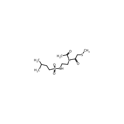 CSCC(=O)N(CCNS(=O)(=O)CCC(C)C)C(C)=O